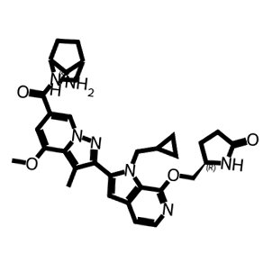 COc1cc(C(=O)N2CC3CCC2[C@H]3N)cn2nc(-c3cc4ccnc(OC[C@H]5CCC(=O)N5)c4n3CC3CC3)c(C)c12